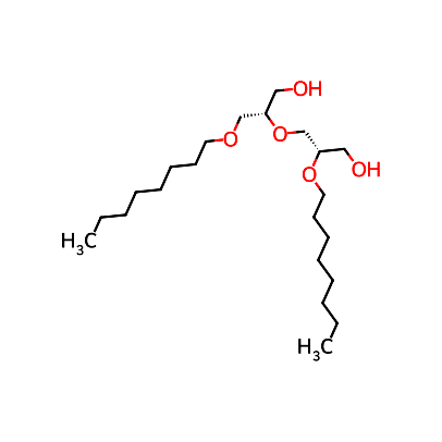 CCCCCCCCOC[C@H](CO)OC[C@H](CO)OCCCCCCCC